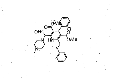 COC(=O)C1=C(CSc2ccccc2)NC(C(C=O)N2CCN(C)CC2)=C(C(=O)OC)C1c1c(Cl)cccc1Cl